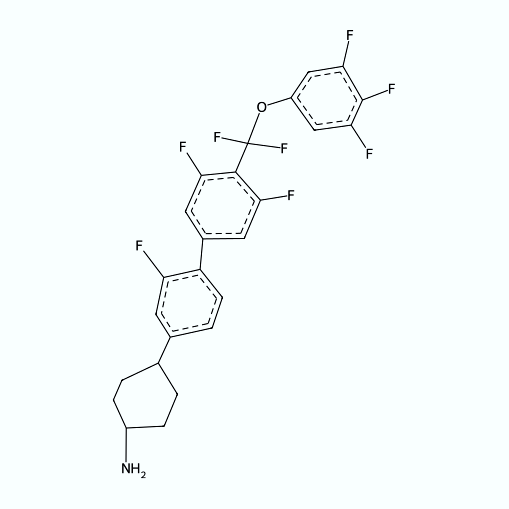 NC1CCC(c2ccc(-c3cc(F)c(C(F)(F)Oc4cc(F)c(F)c(F)c4)c(F)c3)c(F)c2)CC1